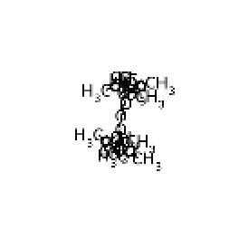 Cc1cc(C)c(C(=O)P(=O)(OCCOCCOCCOCCOP(=O)(C(=O)c2c(C)cc(C)cc2C)C(=O)c2c(C)cc(C)cc2C)C(=O)c2c(C)cc(C)cc2C)c(C)c1